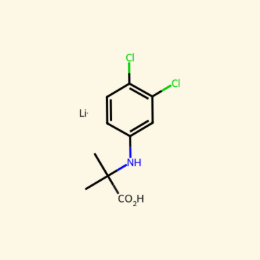 CC(C)(Nc1ccc(Cl)c(Cl)c1)C(=O)O.[Li]